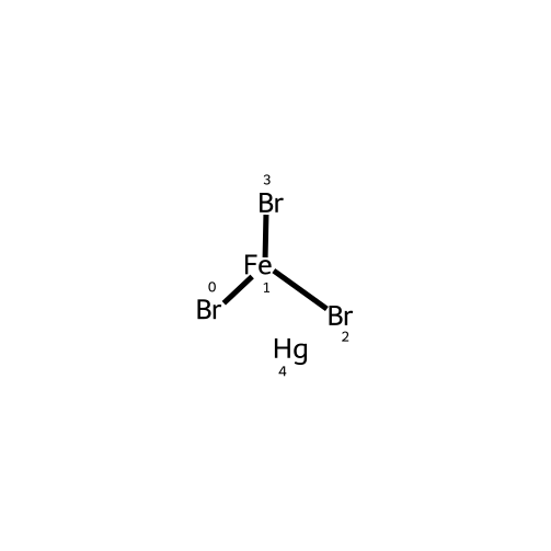 [Br][Fe]([Br])[Br].[Hg]